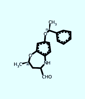 C[C@@H]1CC(C=O)Nc2ccc(O[C@@H](C)c3ccccc3)cc2O1